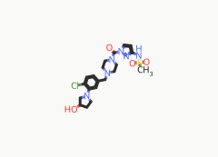 CS(=O)(=O)Nc1ccn(C(=O)N2CCN(Cc3ccc(Cl)c(N4CCC(O)C4)c3)CC2)n1